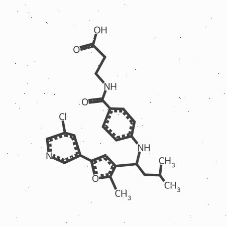 Cc1oc(-c2cncc(Cl)c2)cc1C(CC(C)C)Nc1ccc(C(=O)NCCC(=O)O)cc1